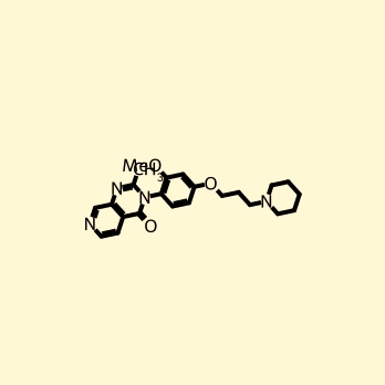 COc1cc(OCCCN2CCCCC2)ccc1-n1c(C)nc2cnccc2c1=O